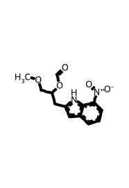 COCC(Cc1cc2cccc([N+](=O)[O-])c2[nH]1)OC=O